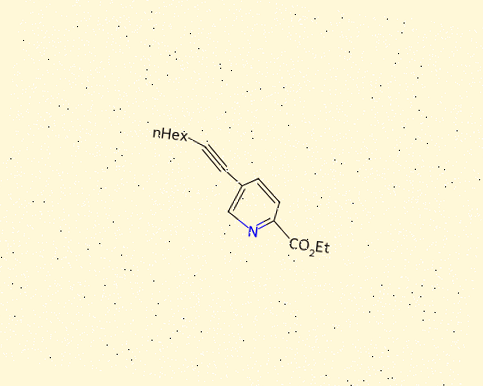 CCCCCCC#Cc1ccc(C(=O)OCC)nc1